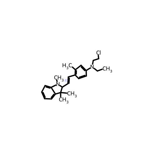 CCN(CCCl)c1ccc(/C=C/C2N(C)c3ccccc3C2(C)C)c(C)c1